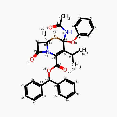 CC(=O)NC1(Oc2ccccc2)S[C@@H]2CC(=O)N2C(C(=O)OC(c2ccccc2)c2ccccc2)=C1C(C)C